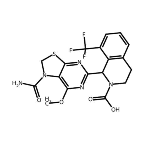 COc1nc(C2c3c(cccc3C(F)(F)F)CCN2C(=O)O)nc2c1N(C(N)=O)[CH]S2